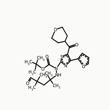 CC(C)(C=O)CC(C)(C)NN(C(=O)OC(C)(C)C)c1nc(-c2ccco2)c(C(=O)C2CCOCC2)s1